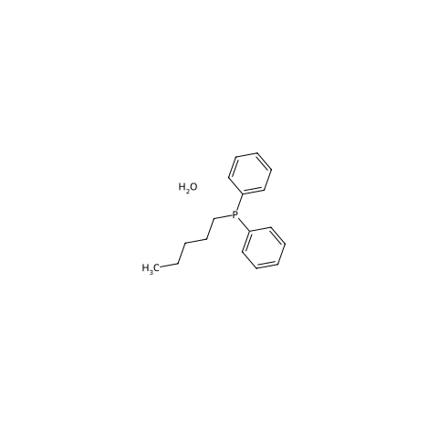 CCCCCP(c1ccccc1)c1ccccc1.O